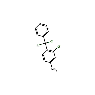 O=[N+]([O-])c1ccc(C(Cl)(Cl)c2ccccc2)c(Cl)c1